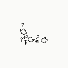 O=C(Nc1ccnnc1)N1CCC(C(F)(F)S(=O)(=O)c2ccc(C3CC3)nc2)CC1